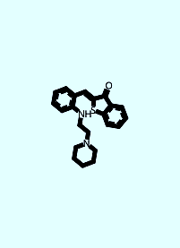 O=C1C(=Cc2ccccc2NCCN2CCCCC2)Sc2ccccc21